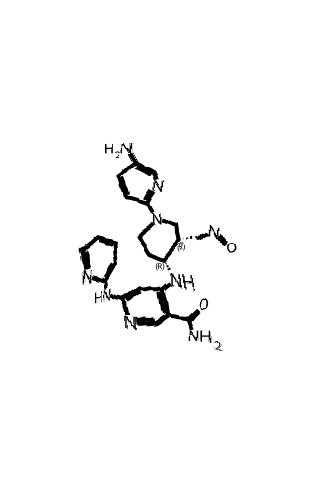 NC(=O)c1cnc(Nc2ccccn2)cc1N[C@@H]1CCN(c2ccc(N)cn2)C[C@@H]1CN=O